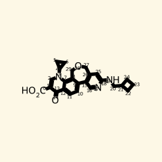 O=C(O)c1cn(C2CC2)c2c3c(ccc2c1=O)-c1cnc(NCC2CCC2)cc1COC3